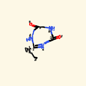 CC=O.O=c1nc[nH]c(=O)[nH]1